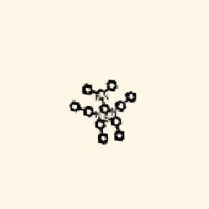 c1ccc(-c2ccc(N3c4ccc(-c5ccccc5)cc4B4c5cc(-c6ccccc6)ccc5N(c5ccc(-c6ccccc6)cc5)c5cc(-c6nc(-c7ccccc7)cc(-c7ccccc7)n6)cc3c54)cc2)cc1